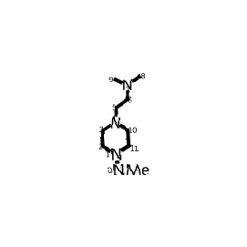 CNN1CCN(CCN(C)C)CC1